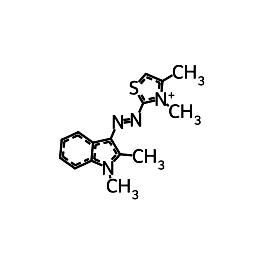 Cc1c(N=Nc2scc(C)[n+]2C)c2ccccc2n1C